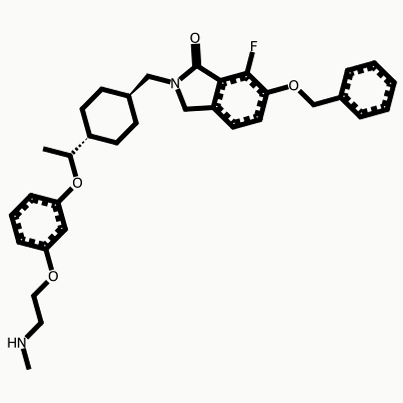 CNCCOc1cccc(OC(C)[C@H]2CC[C@H](CN3Cc4ccc(OCc5ccccc5)c(F)c4C3=O)CC2)c1